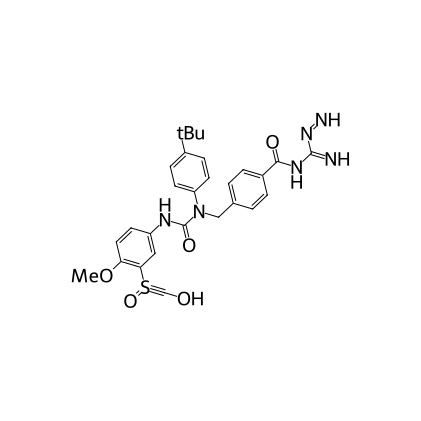 COc1ccc(NC(=O)N(Cc2ccc(C(=O)NC(=N)N=N)cc2)c2ccc(C(C)(C)C)cc2)cc1S(=O)#CO